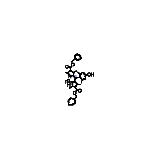 CC1=N/C(=C(/c2c(C)cc(O)cc2C)c2c(C)c(C(=O)OCc3ccccc3)c(C)n2BF)C(C)=C1C(=O)OCc1ccccc1